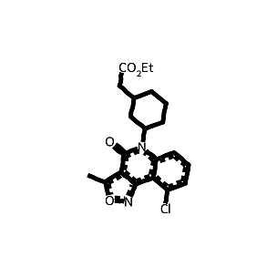 CCOC(=O)CC1CCCC(n2c(=O)c3c(C)onc3c3c(Cl)cccc32)C1